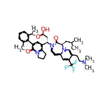 Cc1cccc(C)c1-c1cc([C@H](CC(=O)O)[N+]2=C=C=C3C=C(C(F)(F)F)C(CCN(C)C)=CN3[C@H](CC(C)C)C2=O)c2n(c1=O)CCC2